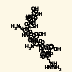 N=C(N)NCCC[C@H](N)C(=O)N[C@@H](CS)C(=O)N[C@@H](Cc1ccc(O)cc1)C(=O)N[C@@H](CC(N)=O)C(=O)N[C@@H](CC(=O)O)C(=O)N1CCC[C@H]1C(=O)N[C@@H](CCCCN)C(=O)N[C@@H](CS)C(=O)N[C@@H](CS)C(=O)N[C@@H](CC(=O)O)C(=O)O